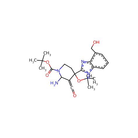 CC(C)(C)OC(=O)N1CCC(OC(C)(C)C)(c2nc3c(CO)cccc3[nH]2)C(=C=O)C1N